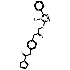 CCn1c(SCC(=O)Cc2ccc(CC(=O)C3=CC=CC3)cc2)nnc1-c1ccccc1